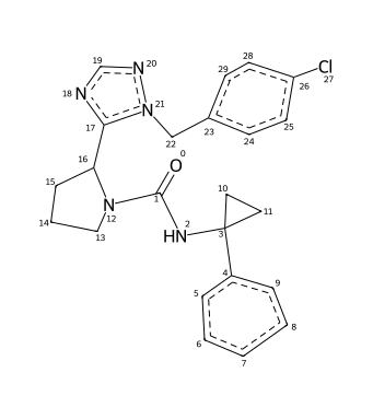 O=C(NC1(c2ccccc2)CC1)N1CCCC1c1ncnn1Cc1ccc(Cl)cc1